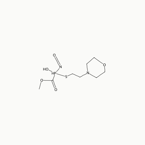 COC(=O)[PH](O)(N=O)SCCN1CCOCC1